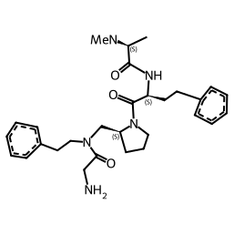 CN[C@@H](C)C(=O)N[C@@H](CCc1ccccc1)C(=O)N1CCC[C@H]1CN(CCc1ccccc1)C(=O)CN